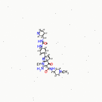 CCn1c(N)c(C(=O)NCC2CCN(C)CC2)c(=O)c2ccc(-c3ccc(NC(=O)NCc4cccnc4)cc3)nc21